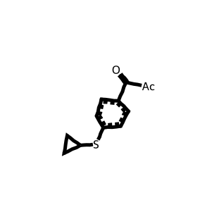 CC(=O)C(=O)c1ccc(SC2CC2)cc1